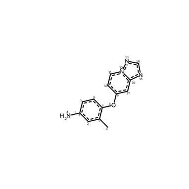 Cc1cc(N)ccc1Oc1ccn2ncnc2c1